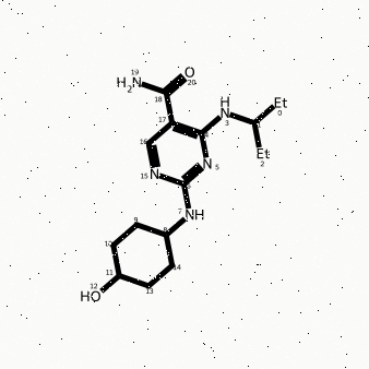 CCC(CC)Nc1nc(NC2CCC(O)CC2)ncc1C(N)=O